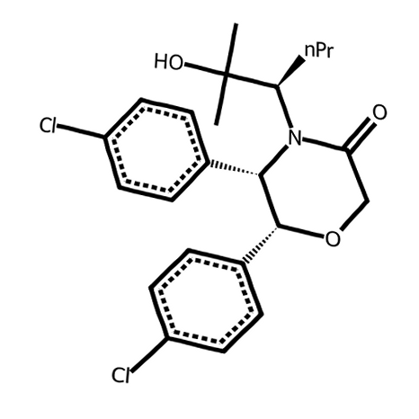 CCC[C@@H](N1C(=O)CO[C@H](c2ccc(Cl)cc2)[C@@H]1c1ccc(Cl)cc1)C(C)(C)O